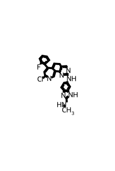 CNCc1nc2ccc(Nc3ncc4c(n3)C3=CN=C(Cl)C=C(c5ccccc5F)C3=CC4)cc2[nH]1